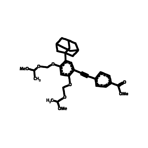 COC(=O)c1ccc(C#Cc2cc(C34CC5CC(CC(C5)C3)C4)c(OCOC(C)OC)cc2OCOC(C)OC)cc1